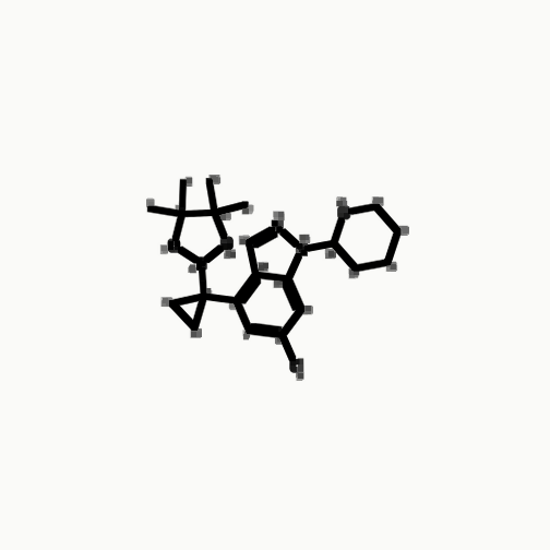 CC1(C)OB(C2(c3cc(Cl)cc4c3cnn4C3CCCCO3)CC2)OC1(C)C